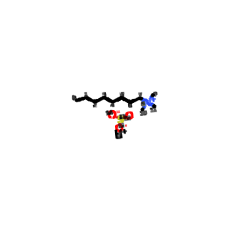 CCCCCCCC[N+](C)(C)C.O=S([O-])[O-].[H+]